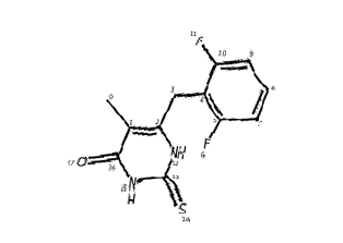 Cc1c(Cc2c(F)cccc2F)[nH]c(=S)[nH]c1=O